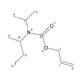 C=CCOC(=O)N(C(C)C)C(C)CI